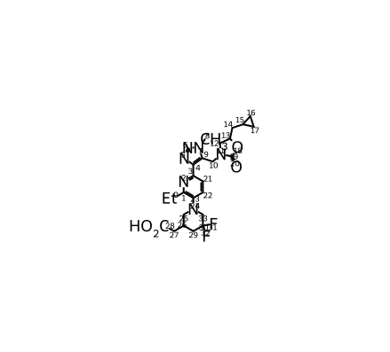 CCc1nc(-c2nnn(C)c2CN2CC(CC3CC3)OC2=O)ccc1N1CC(CC(=O)O)CC(F)(F)C1